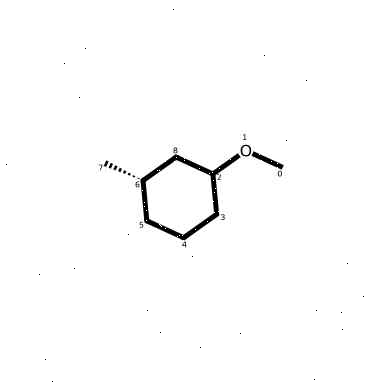 COC1CCC[C@H](C)C1